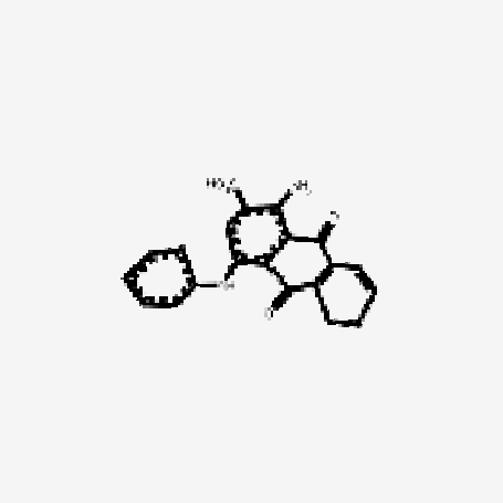 Nc1c(S(=O)(=O)O)cc(Nc2ccccc2)c2c1C(=O)C1=C(CCC=C1)C2=O